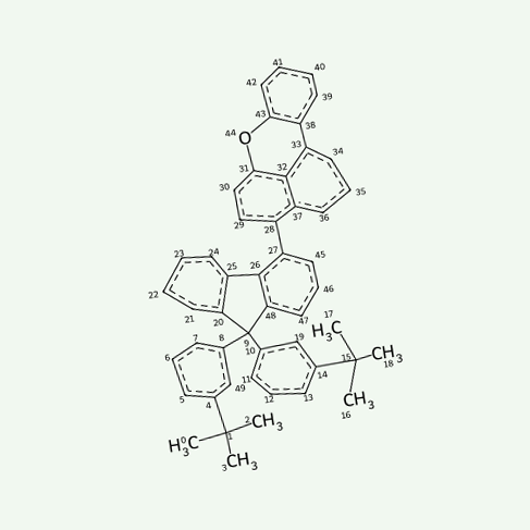 CC(C)(C)c1cccc(C2(c3cccc(C(C)(C)C)c3)c3ccccc3-c3c(-c4ccc5c6c(cccc46)-c4ccccc4O5)cccc32)c1